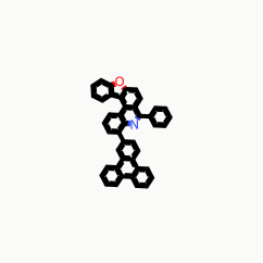 c1ccc(-c2nc3c(-c4ccc5c6ccccc6c6ccccc6c5c4)cccc3c3c2ccc2oc4ccccc4c23)cc1